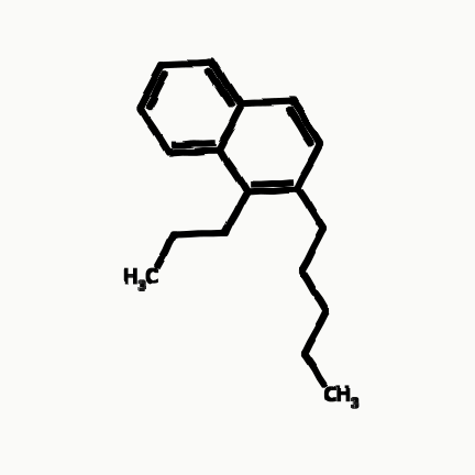 CCCCCc1ccc2ccccc2c1CCC